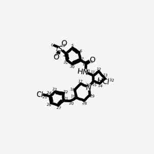 CS(=O)(=O)c1ccc(C(=O)NC2CCCC2N2CCC(Cc3ccc(Cl)cc3)CC2)cc1.Cl